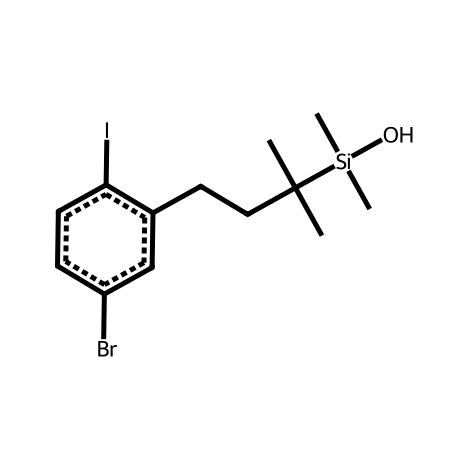 CC(C)(CCc1cc(Br)ccc1I)[Si](C)(C)O